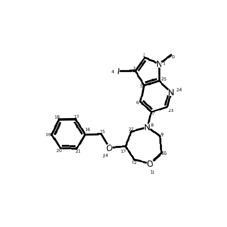 Cn1cc(I)c2cc(N3CCOCC(OCc4ccccc4)C3)cnc21